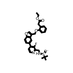 CCOC(=O)Cc1ccccc1OCc1coc2ccc(-c3ccnc(CN[S+]([O-])C(C)(C)C)c3F)cc12